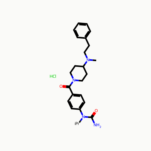 CC(C)N(C(N)=O)c1ccc(C(=O)N2CCC(N(C)CCc3ccccc3)CC2)cc1.Cl